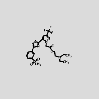 CCN(CC)CCOC(=O)Cn1nc(C(F)(F)F)cc1-c1nc(-c2cccc(S(C)(=O)=O)c2)ns1